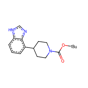 CC(C)(C)OC(=O)N1CCC(c2cccc3[nH]cnc23)CC1